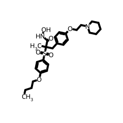 CCCCOc1ccc(S(=O)(=O)C(C)(Cc2ccc(OCCN3CCCCC3)cc2)C(=O)NO)cc1